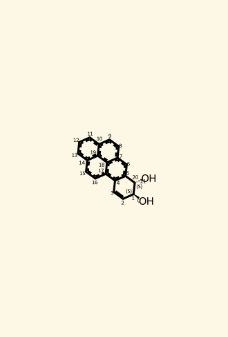 O[C@H]1C=Cc2c(cc3ccc4cccc5ccc2c3c45)[C@@H]1O